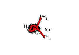 CCCCCCCCCCCCCCCC(=O)OC[C@H](COP(=O)([O-])OCCNC(=O)[C@H](C)NC(=O)CC[C@@H](NC(=O)[C@H](C)NC(=O)[C@@H](C)O[C@@H]([C@H](O)[C@H](O)CO)[C@H](C=O)NC(C)=O)C(N)=O)OC(=O)CCCCCCCCCCCCCCC.[Na+]